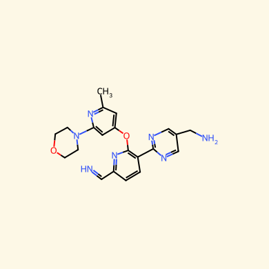 Cc1cc(Oc2nc(C=N)ccc2-c2ncc(CN)cn2)cc(N2CCOCC2)n1